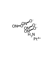 N.O=N[O-].O=N[O-].O=N[O-].O=N[O-].[Pt+4]